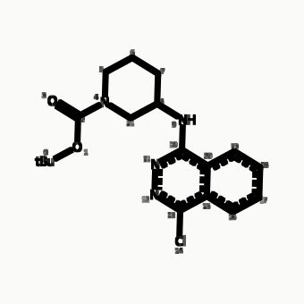 CC(C)(C)OC(=O)N1CCCC(Nc2nnc(Cl)c3ccccc23)C1